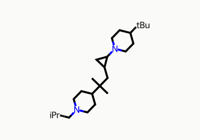 CC(C)CN1CCC(C(C)(C)CC2CC2N2CCC(C(C)(C)C)CC2)CC1